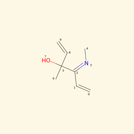 C=CC(=NC)C(C)(O)C=C